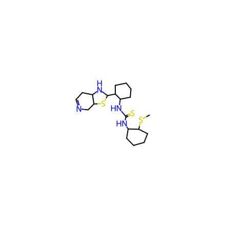 CSC1CCCCC1NC(=S)NC1CCCCC1C1NC2CC=NCC2S1